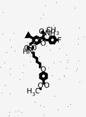 CCOC(=O)c1ccc(OCCCCCCNS(=O)(=O)Cc2cc3oc(-c4ccc(F)cc4)c(C(=O)NC)c3cc2C2CC2)cc1